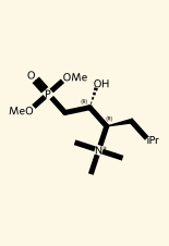 COP(=O)(C[C@H](O)[C@@H](CC(C)C)[N+](C)(C)C)OC